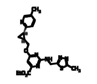 CCOC(=O)c1cc(OC[C@H]2C[C@@H]2c2ccc(C)cn2)nc(NCc2nnc(C)s2)n1